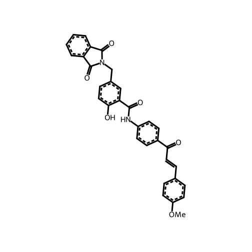 COc1ccc(/C=C/C(=O)c2ccc(NC(=O)c3cc(CN4C(=O)c5ccccc5C4=O)ccc3O)cc2)cc1